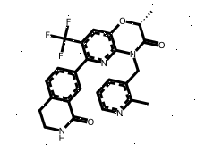 Cc1ncccc1CN1C(=O)[C@@H](C)Oc2cc(C(F)(F)F)c(-c3ccc4c(c3)C(=O)NCC4)nc21